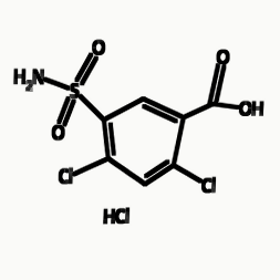 Cl.NS(=O)(=O)c1cc(C(=O)O)c(Cl)cc1Cl